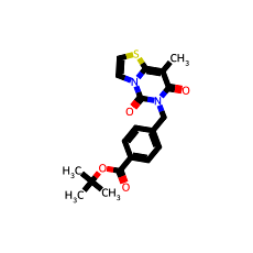 Cc1c(=O)n(Cc2ccc(C(=O)OC(C)(C)C)cc2)c(=O)n2ccsc12